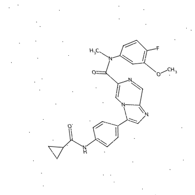 COc1cc(N(C)C(=O)c2cn3c(-c4ccc(NC(=O)C5CC5)cc4)cnc3cn2)ccc1F